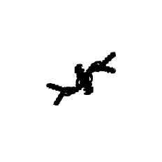 C#CC#CC#CC#CC(CCCCCCCCCC)COc1ccc(CCCCCN2C(=O)C3=C(c4ccc(-c5ccc(C)s5)s4)N(CCCCCc4ccc(OCC(CCCCCCCC)CCCCCCCCCC)cc4)C(=O)C3=C2c2ccc(-c3ccc(C)s3)s2)cc1